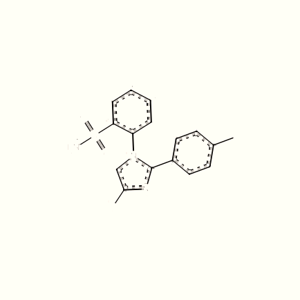 Cc1ccc(-c2nc(C(F)(F)F)cn2-c2ccccc2S(N)(=O)=O)cc1